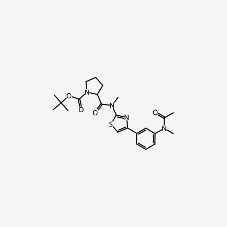 CC(=O)N(C)c1cccc(-c2csc(N(C)C(=O)C3CCCN3C(=O)OC(C)(C)C)n2)c1